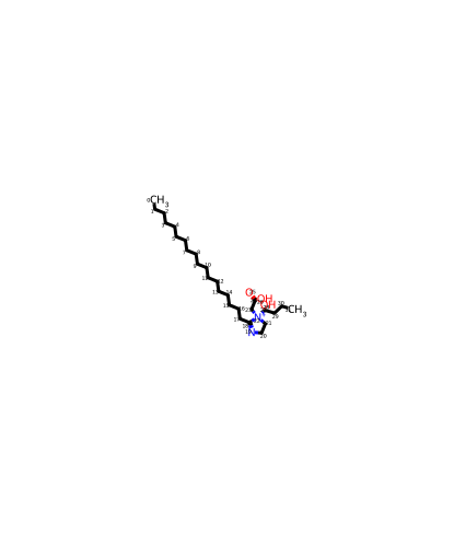 CCCCCCCCCCCCCCCCCCC1=NCC[N+]1(CC(=O)O)C(O)CCC